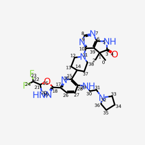 CC1(C)C(=O)Nc2ncnc(N3CCC(c4nc(C5=NNC(C(F)F)O5)ccc4NCCN4CCCC4)CC3)c21